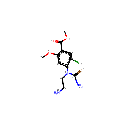 COC(=O)c1cc(Cl)c(N(CCN)C(N)=S)cc1OC